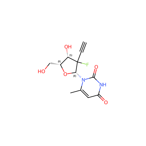 C#CC1(F)[C@@H](O)[C@@H](CO)O[C@H]1n1c(C)cc(=O)[nH]c1=O